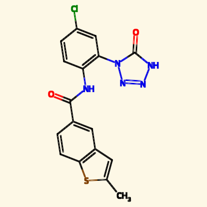 Cc1cc2cc(C(=O)Nc3ccc(Cl)cc3-n3nn[nH]c3=O)ccc2s1